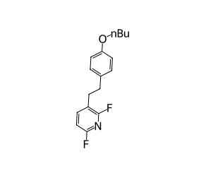 CCCCOc1ccc(CCc2ccc(F)nc2F)cc1